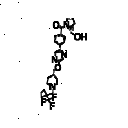 O=C(c1ccc(-c2cnc(OCC3CCN(CC4(C(F)(F)F)CCC4)CC3)cn2)cc1)N1CCC[C@@H]1CO